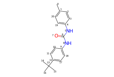 Cc1ccc(NC(=O)Nc2ccc(C(C)(C)C)cc2)cc1